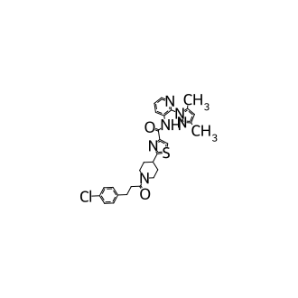 Cc1cc(C)n(-c2ncccc2NC(=O)c2csc(C3CCN(C(=O)CCc4ccc(Cl)cc4)CC3)n2)n1